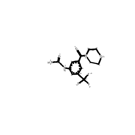 NC(=O)Nc1cc(C(=O)N2CCOCC2)cc(C(F)(F)F)c1